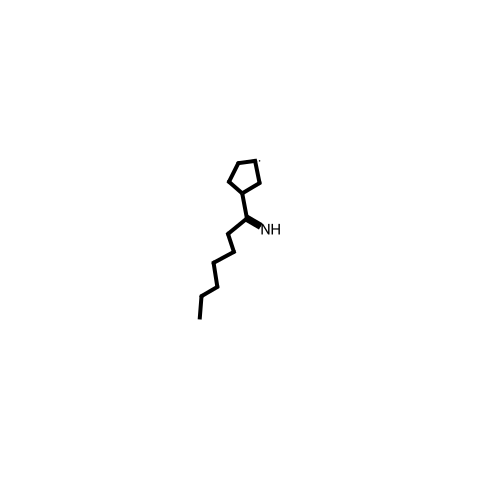 CCCCCCC(=N)C1C[CH]CC1